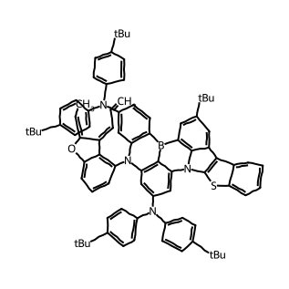 C=C/C=c1\c(=C/C)oc2cccc(N3c4cc(N(c5ccc(C(C)(C)C)cc5)c5ccc(C(C)(C)C)cc5)ccc4B4c5c3cc(N(c3ccc(C(C)(C)C)cc3)c3ccc(C(C)(C)C)cc3)cc5-n3c5sc6ccccc6c5c5cc(C(C)(C)C)cc4c53)c12